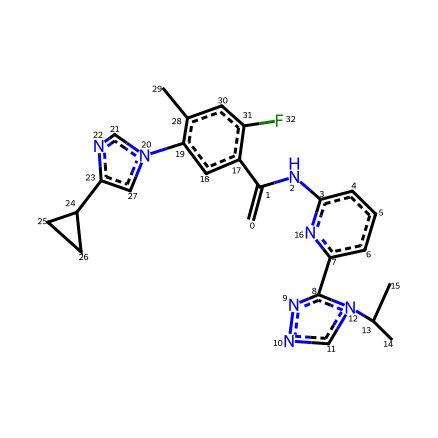 C=C(Nc1cccc(-c2nncn2C(C)C)n1)c1cc(-n2cnc(C3CC3)c2)c(C)cc1F